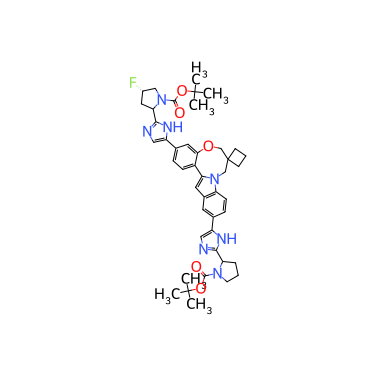 CC(C)(C)OC(=O)N1CCCC1c1ncc(-c2ccc3c(c2)cc2n3CC3(CCC3)COc3cc(-c4cnc(C5C[C@H](F)CN5C(=O)OC(C)(C)C)[nH]4)ccc3-2)[nH]1